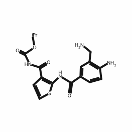 CC(C)OC(=O)NC(=O)c1ccsc1NC(=O)c1ccc(N)c(CN)c1